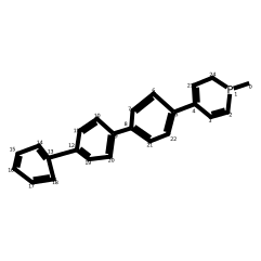 CP1C=CC(c2ccc(-c3ccc(-c4ccccc4)cc3)cc2)=CC1